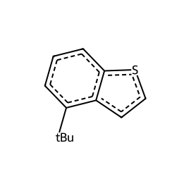 CC(C)(C)c1cccc2sccc12